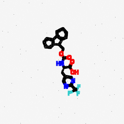 O=C(N[C@@H](Cc1cnc(C(F)(F)F)nc1)C(=O)O)OCC1c2ccccc2-c2ccccc21